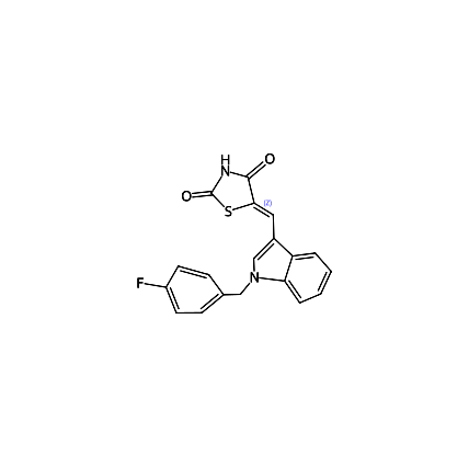 O=C1NC(=O)/C(=C/c2cn(Cc3ccc(F)cc3)c3ccccc23)S1